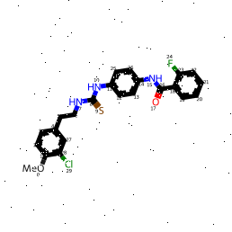 COc1ccc(CCNC(=S)Nc2ccc(NC(=O)c3ccccc3F)cc2)cc1Cl